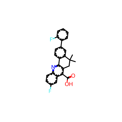 CC1(C)Cc2c(nc3ccc(F)cc3c2C(=O)O)-c2ccc(-c3ccccc3F)cc21